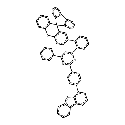 c1ccc(-c2nc(-c3ccc(-c4cccc5c4oc4ccccc45)cc3)nc(-c3ccccc3-c3ccc4c(c3)C3(c5ccccc5S4)c4ccccc4-c4ccccc43)n2)cc1